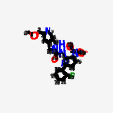 COCc1cc2c(cn1)CN(C(=O)Nc1nc(-c3ccccc3F)ccc1[N+](=O)[O-])C2